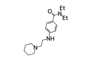 CCN(CC)C(=O)c1ccc(NCCN2CCCCC2)cc1